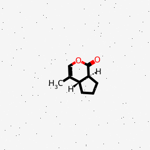 CC1=COC(=O)[C@H]2CCC[C@H]12